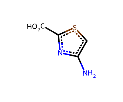 Nc1csc(C(=O)O)n1